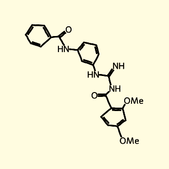 COc1ccc(C(=O)NC(=N)Nc2cccc(NC(=O)c3ccccc3)c2)c(OC)c1